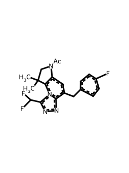 CC(=O)N1CC(C)(C)c2c1cc(Cc1ccc(F)cc1)c1nnc(C(F)F)n21